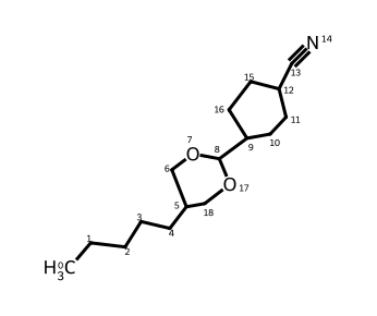 CCCCCC1COC(C2CCC(C#N)CC2)OC1